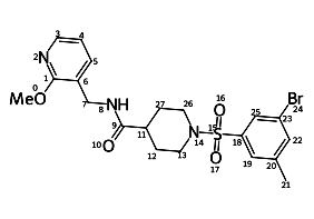 COc1ncccc1CNC(=O)C1CCN(S(=O)(=O)c2cc(C)cc(Br)c2)CC1